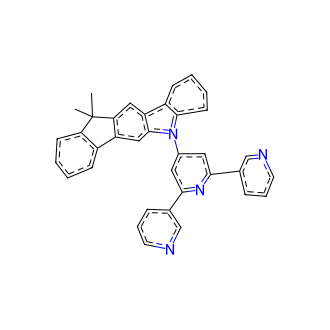 CC1(C)c2ccccc2-c2cc3c(cc21)c1ccccc1n3-c1cc(-c2cccnc2)nc(-c2cccnc2)c1